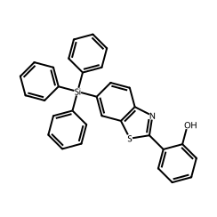 Oc1ccccc1-c1nc2ccc([Si](c3ccccc3)(c3ccccc3)c3ccccc3)cc2s1